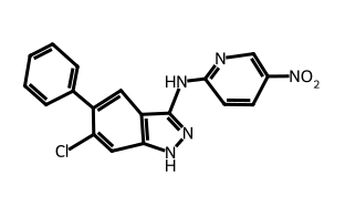 O=[N+]([O-])c1ccc(Nc2n[nH]c3cc(Cl)c(-c4ccccc4)cc23)nc1